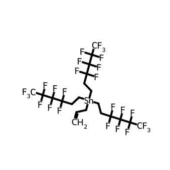 C=C[CH2][Sn]([CH2]CC(F)(F)C(F)(F)C(F)(F)C(F)(F)F)([CH2]CC(F)(F)C(F)(F)C(F)(F)C(F)(F)F)[CH2]CC(F)(F)C(F)(F)C(F)(F)C(F)(F)F